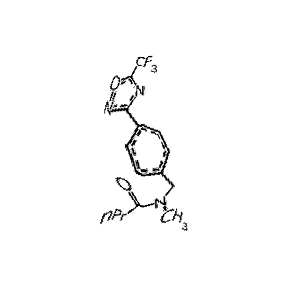 CCCC(=O)N(C)Cc1ccc(-c2noc(C(F)(F)F)n2)cc1